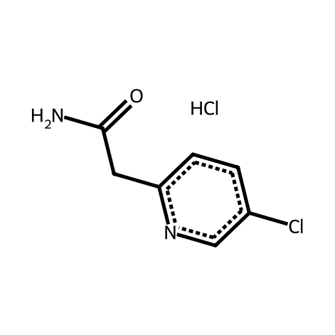 Cl.NC(=O)Cc1ccc(Cl)cn1